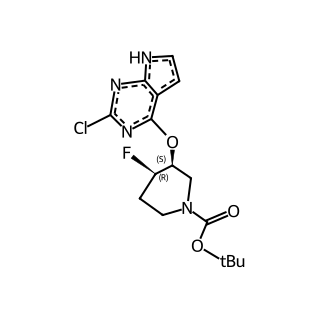 CC(C)(C)OC(=O)N1CC[C@@H](F)[C@@H](Oc2nc(Cl)nc3[nH]ccc23)C1